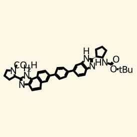 CC(C)(C)OC(=O)N[C@H]1CCC[C@H]1c1nc2ccc(-c3ccc(-c4ccc5c(ccc6nc(C7CCCN7C(=O)O)[nH]c65)c4)cc3)cc2[nH]1